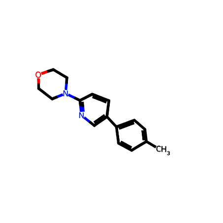 Cc1ccc(-c2ccc(N3CCOCC3)nc2)cc1